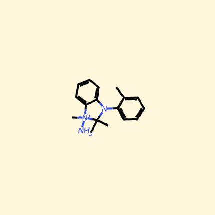 Cc1ccccc1N1c2ccccc2[N+](C)(N)C1(C)C